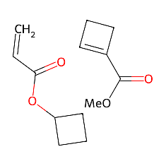 C=CC(=O)OC1CCC1.COC(=O)C1=CCC1